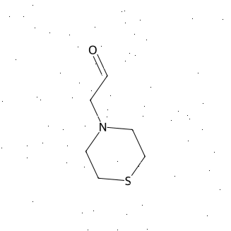 O=CCN1CCSCC1